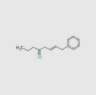 CCC[SiH](Cl)CC=CCc1ccccc1